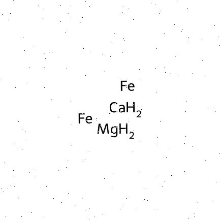 [CaH2].[Fe].[Fe].[MgH2]